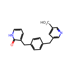 O=C(O)c1cncc(Cc2ccc(Cc3ccc[nH]c3=O)cc2)c1